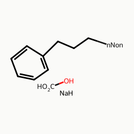 CCCCCCCCCCCCc1ccccc1.O=C(O)O.[NaH]